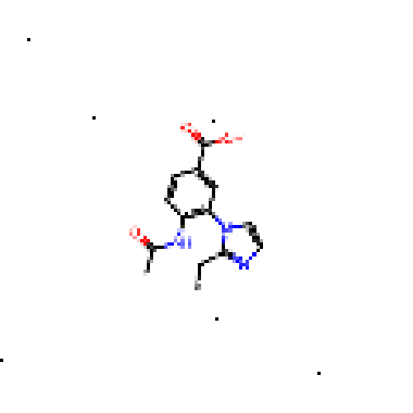 CCc1nccn1-c1cc(C(=O)O)ccc1NC(C)=O